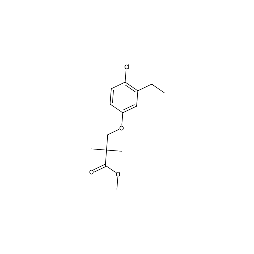 CCc1cc(OCC(C)(C)C(=O)OC)ccc1Cl